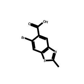 Cc1nc2cc(C(=O)O)c(Br)cc2s1